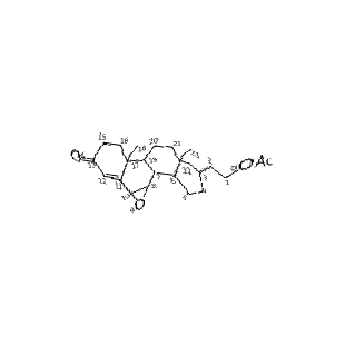 CC(=O)OCCC1CCC2C3C4OC4C4=CC(=O)CCC4(C)C3CCC12C